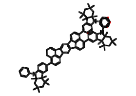 CC1(C)CC(C)(C)C2(C)c3cc(-c4ccc5c6cc7c(cc6c6cccc4c65)c4ccc(-c5ccc6c(c5)C5(C)C(C)(C)CC(C)(C)CC5(C)N6c5ccccc5)c5c(-c6ccc8c(c6)C6(C)C(C)(C)CC(C)(C)CC6(C)N8c6ccccc6)ccc7c54)ccc3N(c3ccccc3)C2(C)C1